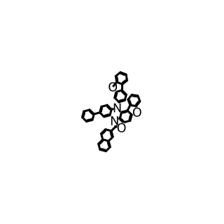 c1ccc(-c2ccc(N(c3ccc4c(c3)oc3ccccc34)c3c4nc(-c5ccc6ccccc6c5)oc4cc4oc5ccccc5c34)cc2)cc1